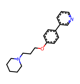 c1cncc(-c2ccc(OCCCN3CCCCC3)cc2)c1